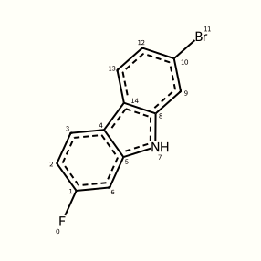 Fc1ccc2c(c1)[nH]c1cc(Br)ccc12